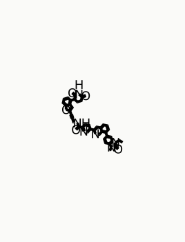 CCn1c(=O)n(C)c2ccc(-c3cccc4cc(-c5ccc(C(=O)NCC#Cc6cc7c(C8CCC(=O)NC8=O)cccc7o6)nc5)ncc34)cc21